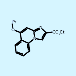 CCOC(=O)c1cn2c(cc(OC(C)C)c3ccccc32)n1